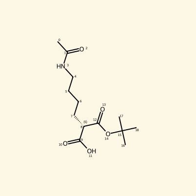 CC(=O)NCCCC[C@@H](C(=O)O)C(=O)OC(C)(C)C